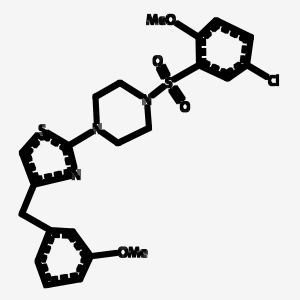 COc1cccc(Cc2csc(N3CCN(S(=O)(=O)c4cc(Cl)ccc4OC)CC3)n2)c1